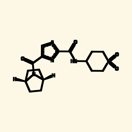 O=C(NC1CCS(=O)(=O)CC1)c1nc(C(=O)N2[C@H]3CC[C@@H]2CC3)cs1